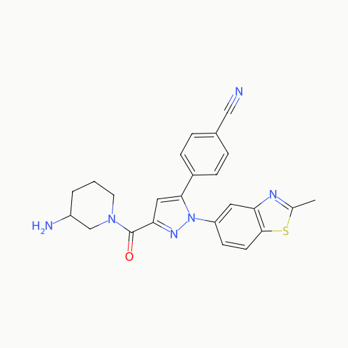 Cc1nc2cc(-n3nc(C(=O)N4CCCC(N)C4)cc3-c3ccc(C#N)cc3)ccc2s1